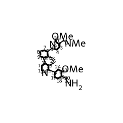 CNCc1ccc(-c2cccc(-c3ccnc(-c4ccc(CN)c(OC)c4)c3C)c2C)nc1OC